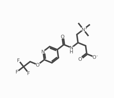 C[N+](C)(C)CC(CC(=O)[O-])NC(=O)c1ccc(OCC(F)(F)F)nc1